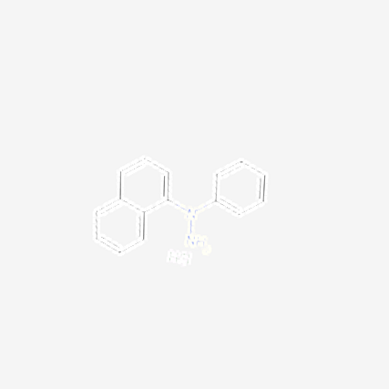 Cl.NN(c1ccccc1)c1cccc2ccccc12